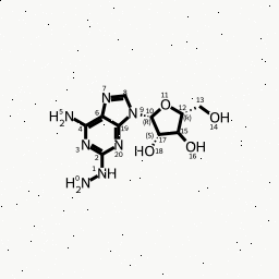 NNc1nc(N)c2ncn([C@@H]3O[C@H](CO)C(O)[C@@H]3O)c2n1